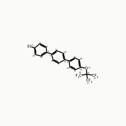 CCc1ccc(-c2ccc(-c3ccc(OC(C(F)(F)F)(C(F)(F)F)C(F)(F)F)cc3)cc2)cc1